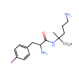 CC(CCCN)(NC(=O)C(N)Cc1ccc(I)cc1)C(=O)O